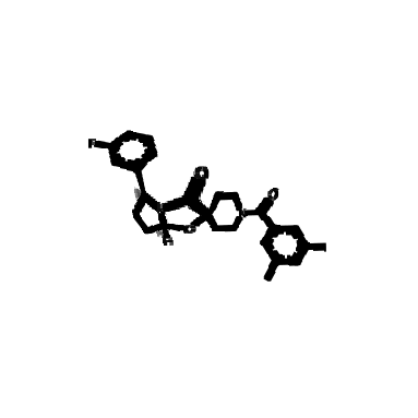 Cc1cc(C)cc(C(=O)N2CCC3(CC2)O[C@@H]2CC[C@@H](c4cccc(F)c4)N2C3=O)c1